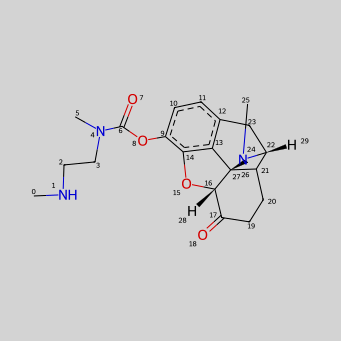 CNCCN(C)C(=O)Oc1ccc2c3c1O[C@H]1C(=O)CCC4[C@@H](C2)N(C)C[C@@]341